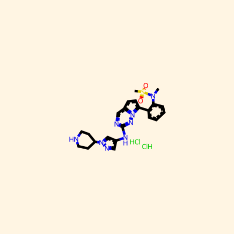 CN(c1ccccc1-c1ccc2cnc(Nc3cnn(C4CCNCC4)c3)nn12)S(C)(=O)=O.Cl.Cl